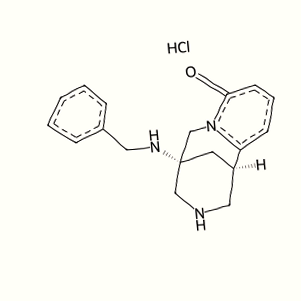 Cl.O=c1cccc2n1C[C@]1(NCc3ccccc3)CNC[C@H]2C1